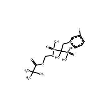 CC(C)(C)C(=O)OCOP(=O)(O)C(O)(C[n+]1cccc(F)c1)P(=O)(O)O